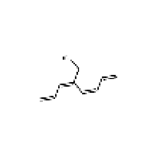 C=C/C=C\C(=C/C=C)CC(C)(C)C